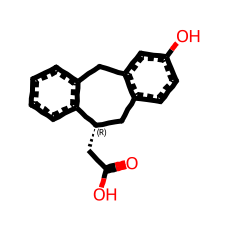 O=C(O)C[C@H]1Cc2ccc(O)cc2Cc2ccccc21